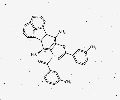 Cc1cccc(C(=O)OC2C(OC(=O)c3cccc(C)c3)[C@]3(C)CCC2(C)C2c4cccc5cccc(c45)C23)c1